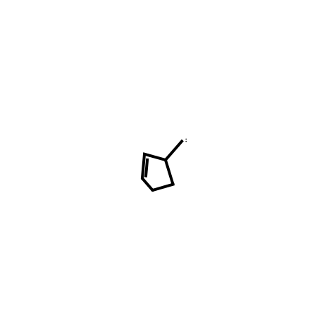 [CH]C1C=CCC1